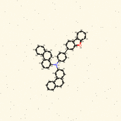 c1ccc2c(c1)ccc1ccc(N(c3ccc(-c4ccc5c(c4)oc4ccccc45)cc3)c3cccc4c3ccc3ccccc34)cc12